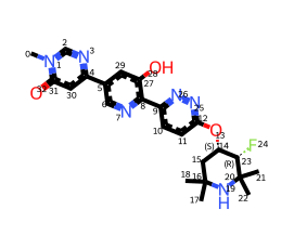 Cn1cnc(-c2cnc(-c3ccc(O[C@H]4CC(C)(C)NC(C)(C)[C@H]4F)nn3)c(O)c2)cc1=O